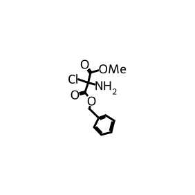 COC(=O)C(N)(Cl)C(=O)OCc1ccccc1